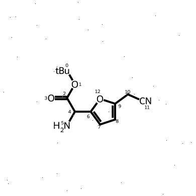 CC(C)(C)OC(=O)C(N)c1ccc(CC#N)o1